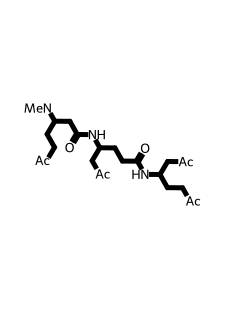 CNC(CCC(C)=O)CC(=O)NC(CCC(=O)NC(CCC(C)=O)CC(C)=O)CC(C)=O